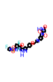 O=C1CCC(N2Cc3cc(N4CC(COc5ccc(-c6cnc7[nH]cc(C(=O)c8c(F)ccc(NS(=O)(=O)N9CC[C@@H](F)C9)c8F)c7c6)cc5)C4)ccc3C2=O)C(=O)N1